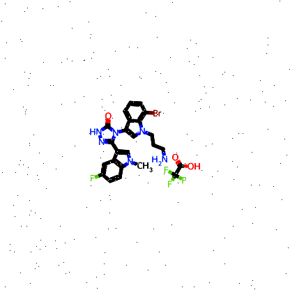 Cn1cc(-c2n[nH]c(=O)n2-c2cn(CCCN)c3c(Br)cccc23)c2cc(F)ccc21.O=C(O)C(F)(F)F